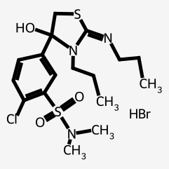 Br.CCCN=C1SCC(O)(c2ccc(Cl)c(S(=O)(=O)N(C)C)c2)N1CCC